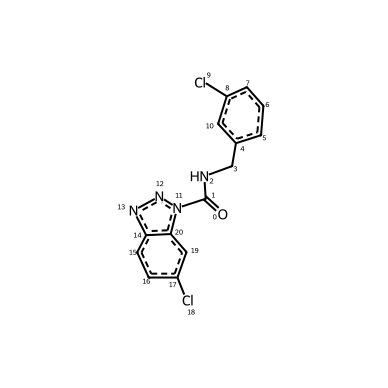 O=C(NCc1cccc(Cl)c1)n1nnc2ccc(Cl)cc21